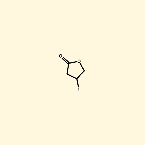 O=C1CC(I)CO1